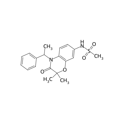 CC(c1ccccc1)N1C(=O)C(C)(C)Oc2cc(NS(C)(=O)=O)ccc21